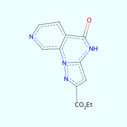 CCOC(=O)c1cc2[nH]c(=O)c3ccncc3n2n1